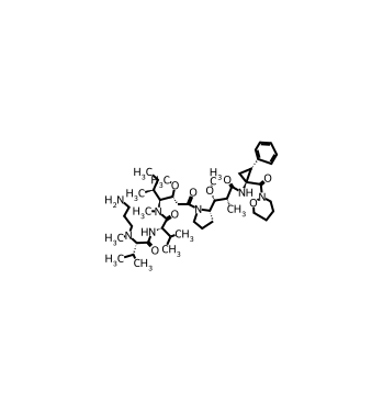 CC[C@H](C)[C@@H]([C@@H](CC(=O)N1CCC[C@H]1[C@H](OC)[C@@H](C)C(=O)N[C@@]1(C(=O)N2CCCCO2)C[C@@H]1c1ccccc1)OC)N(C)C(=O)[C@@H](NC(=O)[C@H](C(C)C)N(C)CCCN)C(C)C